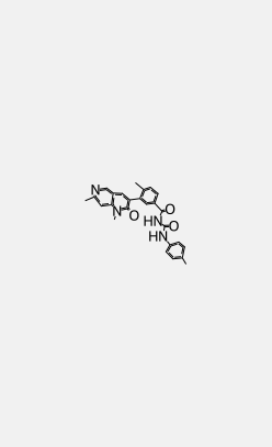 Cc1ccc(NC(=O)NC(=O)c2ccc(C)c(-c3cc4cnc(C)cc4n(C)c3=O)c2)cc1